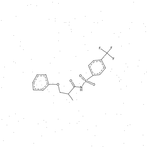 CC(COc1ccccc1)C(=O)NS(=O)(=O)c1ccc(C(F)(F)F)cc1